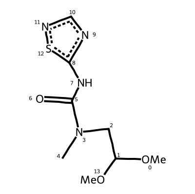 COC(CN(C)C(=O)Nc1ncns1)OC